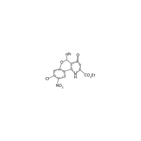 CCCC1Oc2cc(Cl)c([N+](=O)[O-])cc2-c2[nH]c(C(=O)OCC)cc(=O)c21